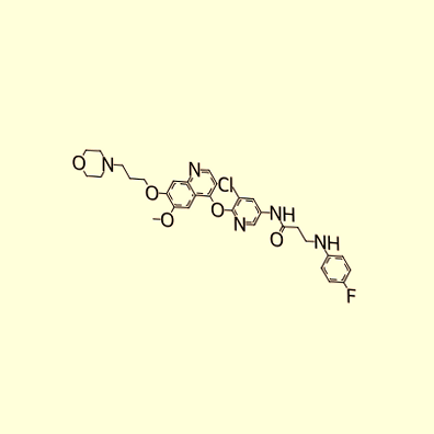 COc1cc2c(Oc3ncc(NC(=O)CCNc4ccc(F)cc4)cc3Cl)ccnc2cc1OCCCN1CCOCC1